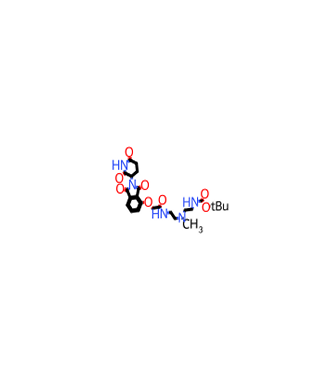 CN(CCNC(=O)COc1cccc2c1C(=O)N(C1CCC(=O)NC1=O)C2=O)CCNC(=O)OC(C)(C)C